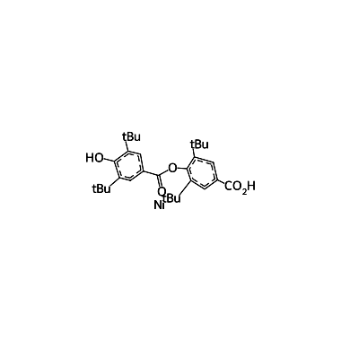 CC(C)(C)c1cc(C(=O)Oc2c(C(C)(C)C)cc(C(=O)O)cc2C(C)(C)C)cc(C(C)(C)C)c1O.[Ni]